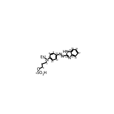 CCN(CCCOS(=O)(=O)O)c1ccc(/N=N/c2nc3ccccc3[nH]2)cc1